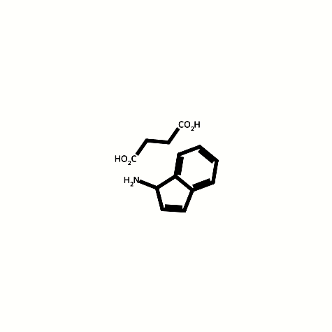 NC1C=Cc2ccccc21.O=C(O)CCC(=O)O